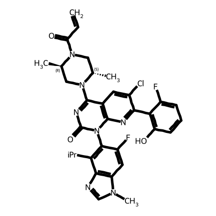 C=CC(=O)N1C[C@H](C)N(c2nc(=O)n(-c3c(F)cc4c(ncn4C)c3C(C)C)c3nc(-c4c(O)cccc4F)c(Cl)cc23)C[C@H]1C